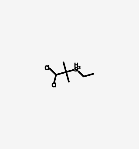 CC[SiH2]C(C)(C)C(Cl)Cl